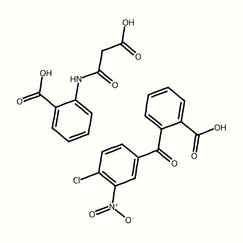 O=C(O)CC(=O)Nc1ccccc1C(=O)O.O=C(O)c1ccccc1C(=O)c1ccc(Cl)c([N+](=O)[O-])c1